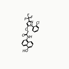 O=C(COc1cc(C(F)(F)F)nn1-c1ccccc1Cl)Nc1cccc2c(O)cccc12